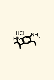 CCc1cc2c(C)c(C)[nH]c2cc1N.Cl